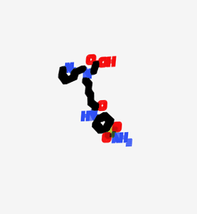 NS(=O)(=O)c1ccc(NC(=O)CCCCCN(CC(=O)O)Cc2ccccn2)cc1